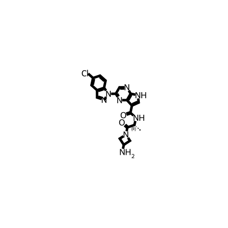 C[C@@H](NC(=O)c1c[nH]c2ncc(-n3ncc4cc(Cl)ccc43)nc12)C(=O)N1CC(N)C1